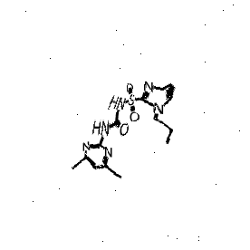 CCCn1ccnc1S(=O)(=O)NC(=O)Nc1nc(C)cc(C)n1